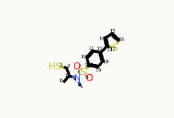 CC(CS)N(C)S(=O)(=O)c1ccc(-c2cccs2)cc1